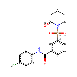 O=C(Nc1ccc(F)cc1)c1cccc(S(=O)(=O)N2CCCCC2=O)c1